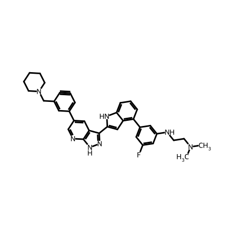 CN(C)CCNc1cc(F)cc(-c2cccc3[nH]c(-c4n[nH]c5ncc(-c6cc#cc(CN7CCCCC7)c6)cc45)cc23)c1